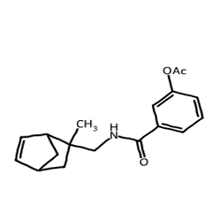 CC(=O)Oc1cccc(C(=O)NCC2(C)CC3C=CC2C3)c1